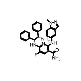 Cn1ncc2cc(Nc3nc(N[C@H](c4ccccc4)[C@@H](N)c4ccccc4)c(F)cc3C(N)=O)ccc21